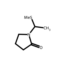 CSC(C)N1CCCC1=O